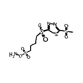 CS(=O)(=O)c1nnc(S(=O)(=O)CCCCS(=O)(=O)ON)s1